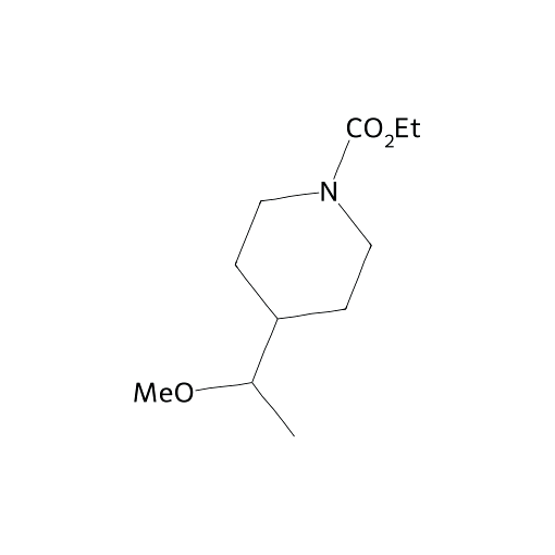 CCOC(=O)N1CCC(C(C)OC)CC1